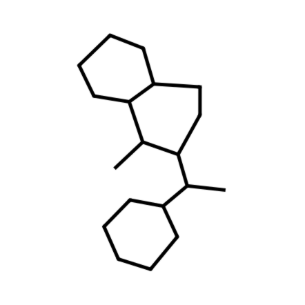 CC(C1CCCCC1)C1CCC2CCCCC2C1C